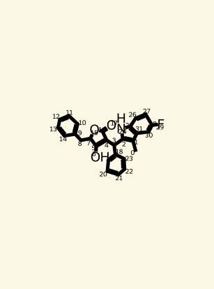 Cc1c(C(C2=C(O)C(Cc3ccccc3)OC2=O)c2ccccc2)[nH]c2ccc(F)cc12